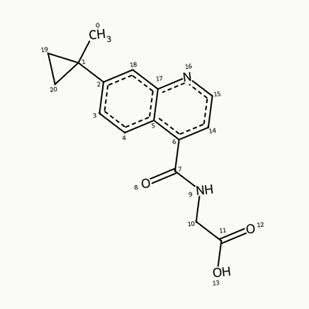 CC1(c2ccc3c(C(=O)NCC(=O)O)ccnc3c2)CC1